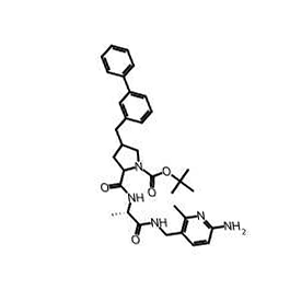 Cc1nc(N)ccc1CNC(=O)[C@H](C)NC(=O)C1CC(Cc2cccc(-c3ccccc3)c2)CN1C(=O)OC(C)(C)C